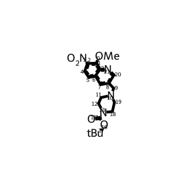 COc1c([N+](=O)[O-])ccc2cc(CN3CCN(C(=O)OC(C)(C)C)CC3)cnc12